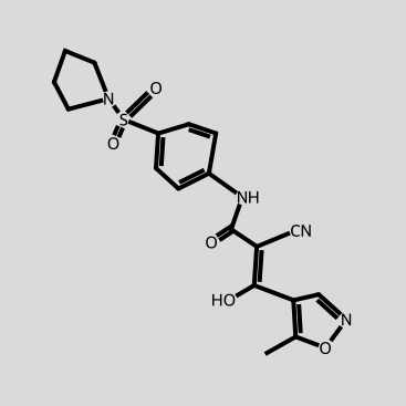 Cc1oncc1/C(O)=C(\C#N)C(=O)Nc1ccc(S(=O)(=O)N2CCCC2)cc1